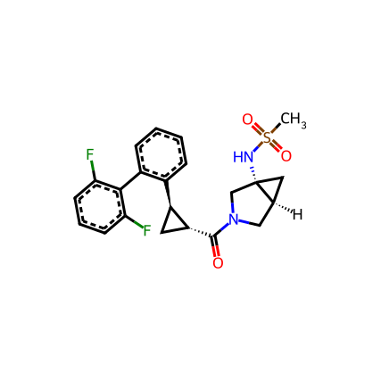 CS(=O)(=O)N[C@]12C[C@H]1CN(C(=O)[C@@H]1C[C@H]1c1ccccc1-c1c(F)cccc1F)C2